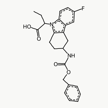 CCC(C(=O)O)n1c2c(c3cc(F)ccc31)CC(NC(=O)OCc1ccccc1)CC2